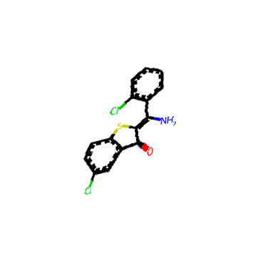 NC(=C1Sc2ccc(Cl)cc2C1=O)c1ccccc1Cl